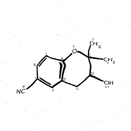 CC1(C)Oc2ccc(C#N)cc2CC1O